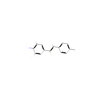 Cc1ccc(/C(F)=C(\F)c2cc(F)c(N)c(F)c2)cc1